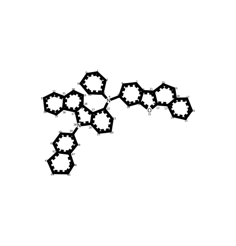 c1ccc(N(c2ccc3c(c2)oc2c4ccccc4ccc32)c2cccc3c2c2ccc4ccccc4c2n3-c2ccc3ccccc3c2)cc1